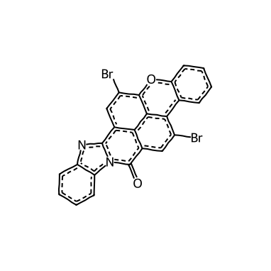 O=c1c2cc(Br)c3c4ccccc4oc4c(Br)cc(c2c43)c2nc3ccccc3n12